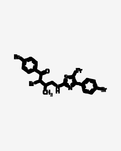 CC(C)c1sc(NCC(C)C(Br)C(=O)c2ccc(Br)cc2)nc1-c1ccc(Br)cc1